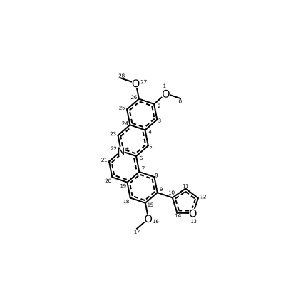 COc1cc2cc3c4cc(-c5ccoc5)c(OC)cc4cc[n+]3cc2cc1OC